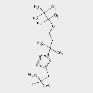 CC(C)(I)Cc1cn(C(C)(C)CCOC(C)(C)C(C)(C)C)nn1